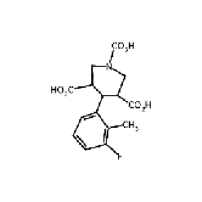 Cc1c(F)cccc1C1C(C(=O)O)CN(C(=O)O)CC1C(=O)O